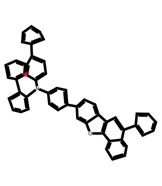 c1ccc(-c2ccc(N(c3ccc(-c4ccc5c(c4)oc4c6ccccc6c(-c6ccccc6)cc54)cc3)c3ccccc3-c3ccccc3)cc2)cc1